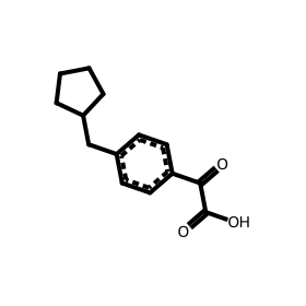 O=C(O)C(=O)c1ccc(CC2CCCC2)cc1